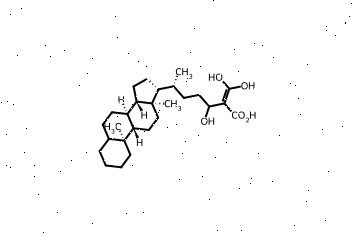 C[C@H](CCC(O)C(C(=O)O)=C(O)O)[C@H]1CC[C@H]2[C@@H]3CCC4CCCC[C@]4(C)[C@H]3CC[C@]12C